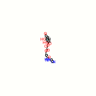 C[C@@H]1C[C@H]2[C@@H]3CCC4=CC(=O)C=C[C@]4(C)[C@@]3(F)[C@@H](O)C[C@]2(C)[C@@]1(O)C(=O)COC(=O)CCC(=O)OCCc1ccc(C(CN)C(=O)Nc2ccc3cnccc3c2)cc1